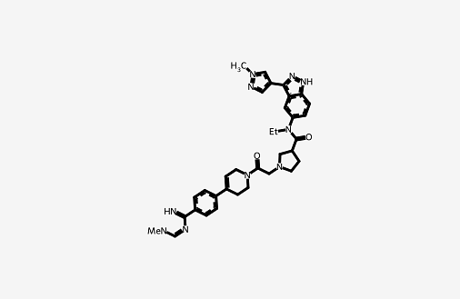 CCN(C(=O)C1CCN(CC(=O)N2CC=C(c3ccc(C(=N)/N=C\NC)cc3)CC2)C1)c1ccc2[nH]nc(-c3cnn(C)c3)c2c1